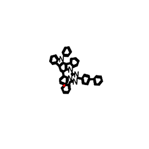 c1ccc(-c2ccc(-c3nc(-c4ccccc4)nc(-n4c5ccccc5c5c4c(-c4ccccc4)cc4c6ccccc6n(-c6ccccc6)c45)n3)cc2)cc1